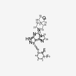 Fc1cccc(C#Cc2n[nH]c3nc(N4CCC5(CCOC5)CC4)n4ccnc4c23)c1F